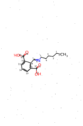 CCCCCCN=Cc1c(C(=O)O)cccc1C(=O)O